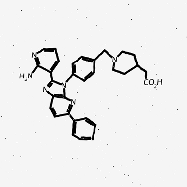 Nc1ncccc1-c1nc2ccc(-c3ccccc3)nc2n1-c1ccc(CN2CCC(CC(=O)O)CC2)cc1